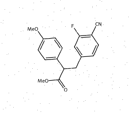 COC(=O)C(Cc1ccc(C#N)c(F)c1)c1ccc(OC)cc1